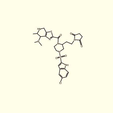 CC1NCc2sc(C(=O)N3CCN(S(=O)(=O)c4cc5cc(Cl)ccc5[nH]4)CC3CCN3C(=O)CCC3=O)nc2C1N(C)C